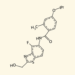 Cc1cc(OC(C)C)ccc1C(=O)Nc1ccc2sc(CO)nc2c1F